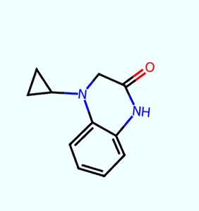 O=C1CN(C2CC2)c2ccccc2N1